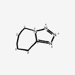 C1CCn2nnnc2C1